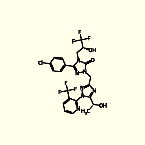 C[C@@H](O)c1nc(Cn2nc(-c3ccc(Cl)cc3)n(C[C@H](O)C(F)(F)F)c2=O)nn1-c1ncccc1C(F)(F)F